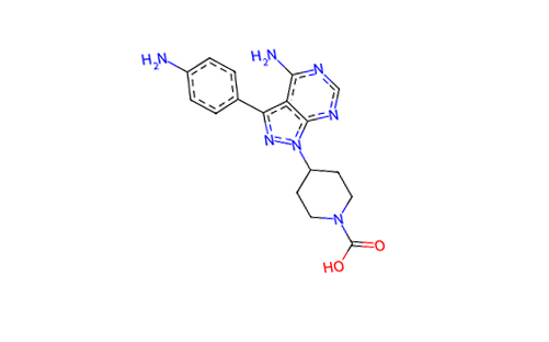 Nc1ccc(-c2nn(C3CCN(C(=O)O)CC3)c3ncnc(N)c23)cc1